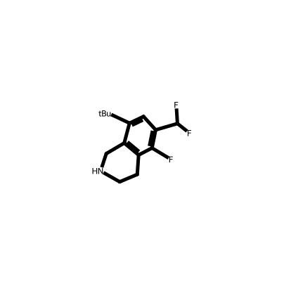 CC(C)(C)c1cc(C(F)F)c(F)c2c1CNCC2